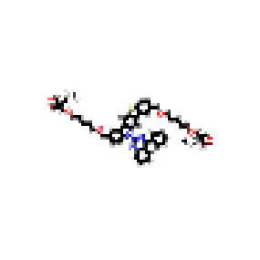 CCC1(COCCCCCOCc2ccc3c(c2)c2cc4sc5ccc(COCCCCCOCC6(C)COC6)cc5c4cc2n3-c2nc(-c3ccccc3)c3ccccc3n2)COC1